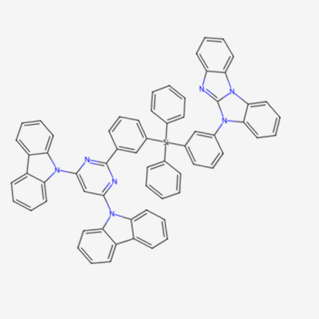 c1ccc([Si](c2ccccc2)(c2cccc(-c3nc(-n4c5ccccc5c5ccccc54)cc(-n4c5ccccc5c5ccccc54)n3)c2)c2cccc(-n3c4ccccc4n4c5ccccc5nc34)c2)cc1